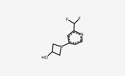 OC1CN(c2ccnc(C(F)F)c2)C1